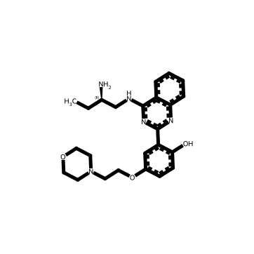 CC[C@@H](N)CNc1nc(-c2cc(OCCN3CCOCC3)ccc2O)nc2ccccc12